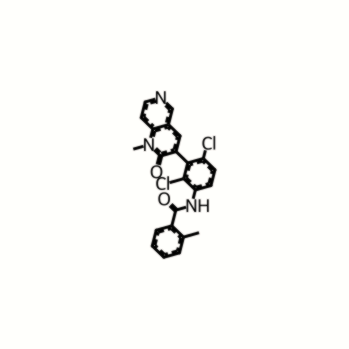 Cc1ccccc1C(=O)Nc1ccc(Cl)c(-c2cc3cnccc3n(C)c2=O)c1Cl